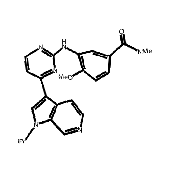 CNC(=O)c1ccc(OC)c(Nc2nccc(-c3cn(C(C)C)c4cnccc34)n2)c1